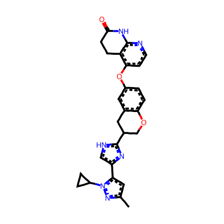 Cc1cc(-c2c[nH]c(C3COc4ccc(Oc5ccnc6c5CCC(=O)N6)cc4C3)n2)n(C2CC2)n1